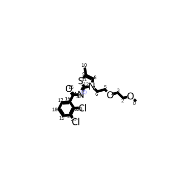 COCCOCCn1cc(C)s/c1=N\C(=O)c1cccc(Cl)c1Cl